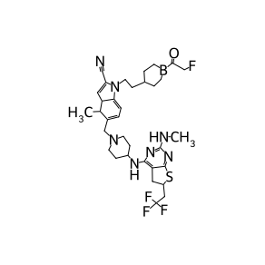 CNc1nc(NC2CCN(CC3=CC=C4C(C=C(C#N)N4CCC4CCB(C(=O)CF)CC4)C3C)CC2)c2c(n1)SC(CC(F)(F)F)C2